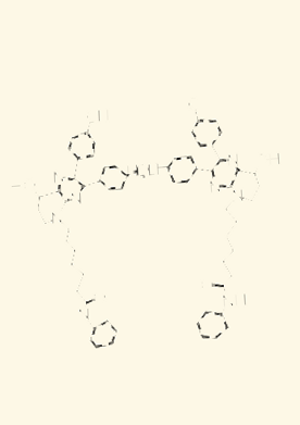 Cc1ccc(-c2nc3c(nc2-c2ccc(C)cc2)N(CCCCCCC(=O)Nc2ccccc2)CCC3O)cc1.Cc1ccc(-c2nc3c(nc2-c2ccc(Cl)cc2)C(O)CCN3CCCCCCC(=O)Nc2ccccc2)cc1